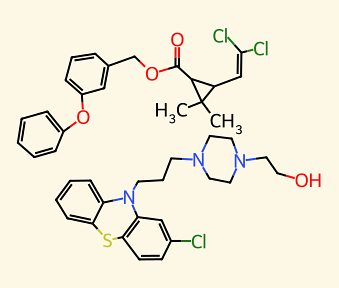 CC1(C)C(C=C(Cl)Cl)C1C(=O)OCc1cccc(Oc2ccccc2)c1.OCCN1CCN(CCCN2c3ccccc3Sc3ccc(Cl)cc32)CC1